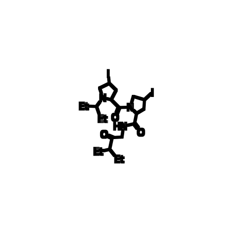 CCC(CC)C(=O)CNC(=O)C1CC(I)CN1C(=O)C1CC(I)CN1C(CC)CC